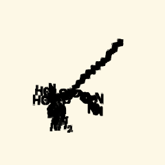 CCCCCCCCCCCCCCCCCCC[C@H](COP(=O)(O)OC[C@@]1(C#N)OC(c2ccc3c(N)ncnn23)[C@H](O)[C@@H]1O)OCc1ccc(-n2cncn2)c(C#N)c1